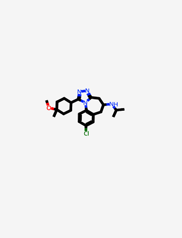 COC1(C)CCC(c2nnc3n2-c2ccc(Cl)cc2CC(NC(C)C)C3)CC1